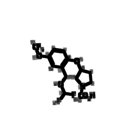 O=C(O)N1CCC(Oc2ccc(OC(F)(F)F)cc2COC(F)F)C1